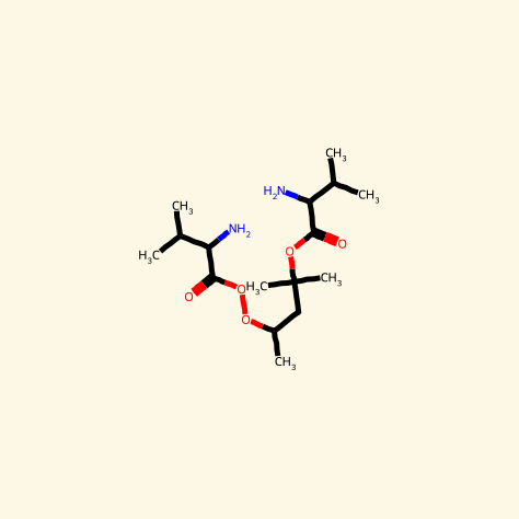 CC(CC(C)(C)OC(=O)C(N)C(C)C)OOC(=O)C(N)C(C)C